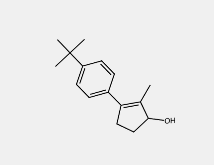 CC1=C(c2ccc(C(C)(C)C)cc2)CCC1O